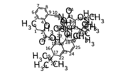 CCC(Oc1ccccc1C#N)C(=O)O[C@H]1C[C@H](C(C)(C)C)C=C2C=C[C@H](C)[C@](CC[C@@H]3C[C@H](C(C)(C)C)C(O[SiH](C)C)C(=O)O3)(O[SiH](C)C)[C@H]21